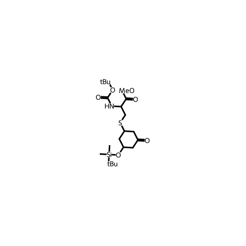 COC(=O)C(CSC1CC(=O)CC(O[Si](C)(C)C(C)(C)C)C1)NC(=O)OC(C)(C)C